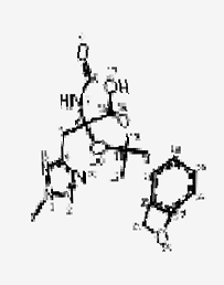 Cn1nnc(CC(NC=O)(OC(C)(C)C)C(=O)O)n1.c1ccc2c(c1)CO2